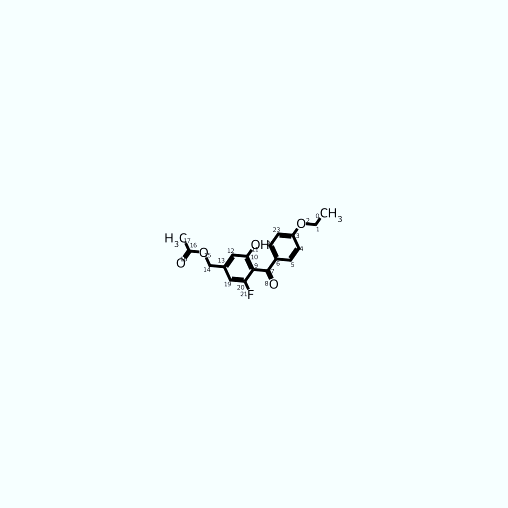 CCOc1ccc(C(=O)c2c(O)cc(COC(C)=O)cc2F)cc1